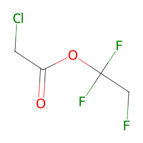 O=C(CCl)OC(F)(F)CF